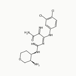 N=C(/N=C(/Nc1ccc(Cl)c(Cl)c1)C(=N)C(N)=O)N[C@@H]1CCOC[C@@H]1N